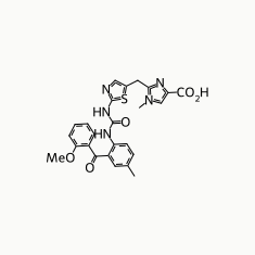 COc1ccccc1C(=O)c1cc(C)ccc1NC(=O)Nc1ncc(Cc2nc(C(=O)O)cn2C)s1